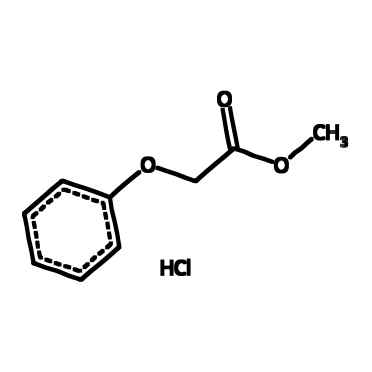 COC(=O)COc1ccccc1.Cl